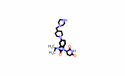 CC(C)n1c(=O)n(C2CCC(=O)NC2=O)c2ccc(N3CCC(CN4CCNCC4)CC3)cc21